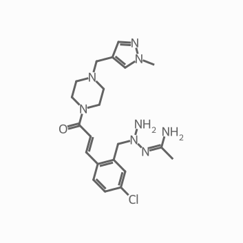 C/C(N)=N/N(N)Cc1cc(Cl)ccc1/C=C/C(=O)N1CCN(Cc2cnn(C)c2)CC1